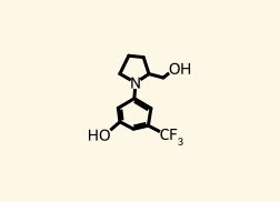 OCC1CCCN1c1cc(O)cc(C(F)(F)F)c1